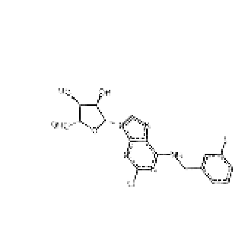 O=C[C@H]1O[C@@H](n2cnc3c(NCc4cccc(I)c4)nc(Cl)nc32)[C@H](O)[C@@H]1O